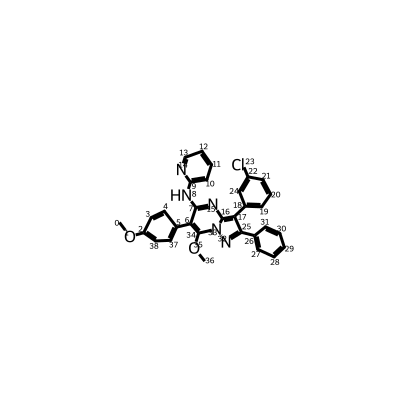 COc1ccc(-c2c(Nc3ccccn3)nc3c(-c4cccc(Cl)c4)c(-c4ccccc4)nn3c2OC)cc1